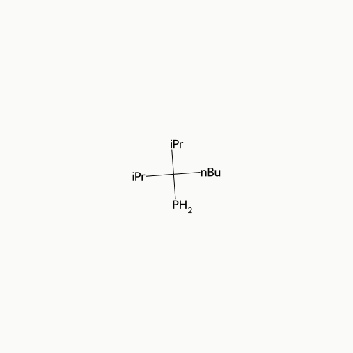 CCCCC(P)(C(C)C)C(C)C